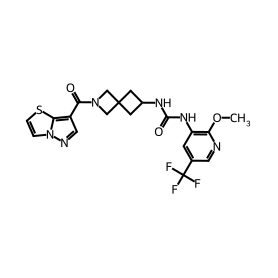 COc1ncc(C(F)(F)F)cc1NC(=O)NC1CC2(C1)CN(C(=O)c1cnn3ccsc13)C2